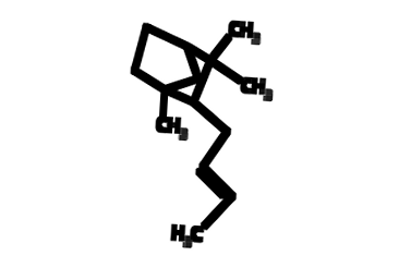 CC=CCC1C2(C)CCC(C2)C1(C)C